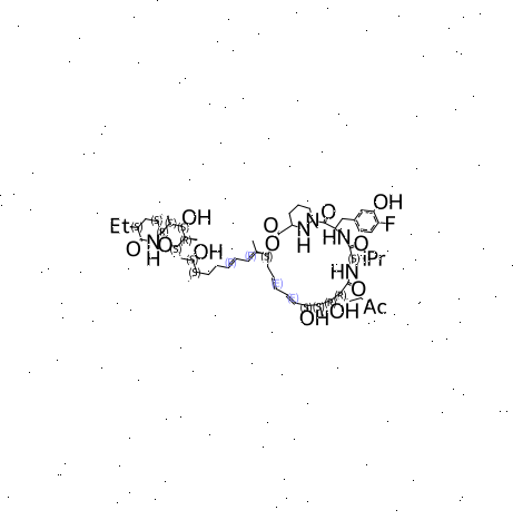 CC[C@H]1C[C@H](C)[C@@]2(NC1=O)O[C@@H](C[C@H](O)[C@@H](C)CC/C=C/C=C(\C)[C@@H]1C/C=C/C=C/[C@H](O)[C@H](C)[C@@H](O)[C@@H](CCC(C)=O)C(=O)N[C@@H](C(C)C)C(=O)NC(Cc3ccc(F)c(O)c3)C(=O)N3CCCC(N3)C(=O)O1)[C@H](C)[C@H](O)[C@@H]2C